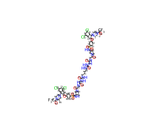 C[C@@H]1CN([C@H]2c3cc(Cl)cc(Cl)c3C[C@@H]2Oc2ccc(S(=O)(=O)N[C@H]3CCN(C(=O)CNC(=O)CNC(=O)NCCCCNC(=O)NCC(=O)NCC(=O)N4CC[C@H](NS(=O)(=O)c5ccc(O[C@H]6Cc7c(Cl)cc(Cl)cc7[C@@H]6N6CCN(C(=O)C(F)(F)F)[C@H](C)C6)cc5)C4)C3)cc2)CCN1C(=O)C(F)(F)F